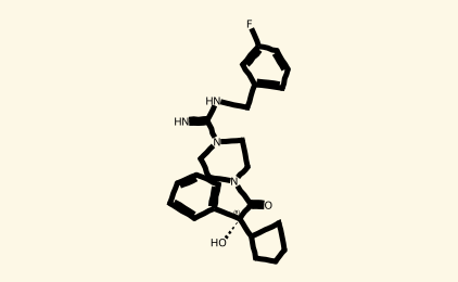 N=C(NCc1cccc(F)c1)N1CCN(C(=O)[C@](O)(c2ccccc2)C2CCCC2)CC1